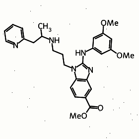 COC(=O)c1ccc2c(c1)nc(Nc1cc(OC)cc(OC)c1)n2CCCNC(C)Cc1ccccn1